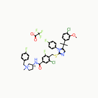 COc1cc(C(C)(C)c2cnc(SCc3c(F)cc(C(=O)N[C@H]4CC[N+](C)(Cc5ccc(F)cc5)C4)cc3Cl)n2-c2ccc(F)cc2)ccc1Cl.O=C([O-])C(F)(F)F